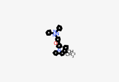 CC1(C)c2ccccc2-c2c1ccc1c3ccccc3n(-c3ccc4c(c3)oc3cc(-c5nc(-c6ccccc6)nc(-c6ccccc6)n5)ccc34)c21